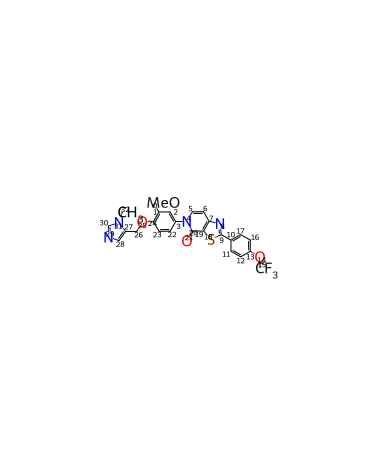 COc1cc(-n2ccc3nc(-c4ccc(OC(F)(F)F)cc4)sc3c2=O)ccc1OCc1cncn1C